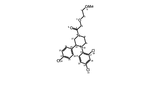 COCCOCC(=O)N1CCN(c2ccc(Cl)cc2Cl)C(c2ccc(Cl)cc2)C1